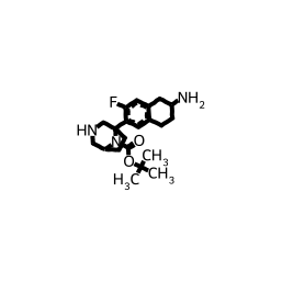 CC(C)(C)OC(=O)N1C2CCC1(c1cc3c(cc1F)CC(N)CC3)CNC2